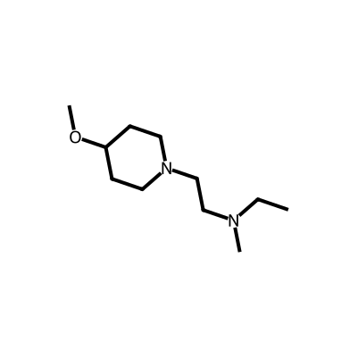 CCN(C)CCN1CCC(OC)CC1